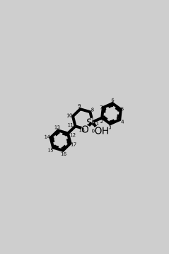 O[Si]1(c2ccccc2)CCCC(c2ccccc2)O1